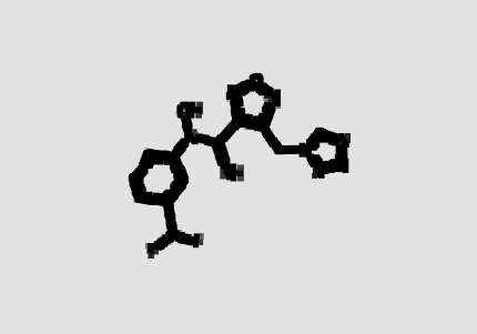 N=C(c1nonc1Cn1cnnn1)N(O)c1cccc(C(F)F)c1